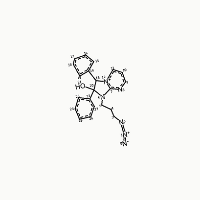 [N-]=[N+]=NCCCN1c2nccc[n+]2C(c2ccccc2)C1(O)c1ccccc1